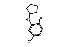 Oc1cnc(Cl)cc1NC1CCCC1